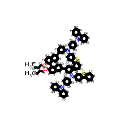 CCCCOc1ccc2cc(-c3cccc(N(c4ccc(-n5c6ccccc6c6ccccc65)cc4)c4ccc5c(c4)sc4ccccc45)c3)ccc2c1-c1c(OCCCC)ccc2cc(-c3cccc(N(c4ccc(-n5c6ccccc6c6ccccc65)cc4)c4ccc5c(c4)sc4ccccc45)c3)ccc12